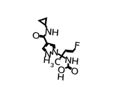 CC(C=CF)(NC(=O)O)n1cc(C(=O)NC2CC2)cn1